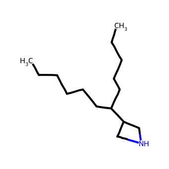 CCCCCCC(CCCCC)C1CNC1